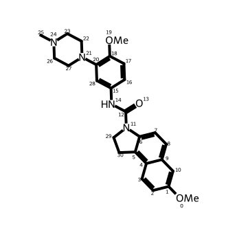 COc1ccc2c3c(ccc2c1)N(C(=O)Nc1ccc(OC)c(N2CCN(C)CC2)c1)CC3